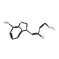 C/C=C\C(Cl)=C/C1CSc2c(O)cccc21